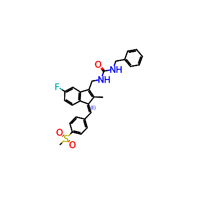 CC1=C(CNC(=O)NCc2ccccc2)c2cc(F)ccc2/C1=C\c1ccc(S(C)(=O)=O)cc1